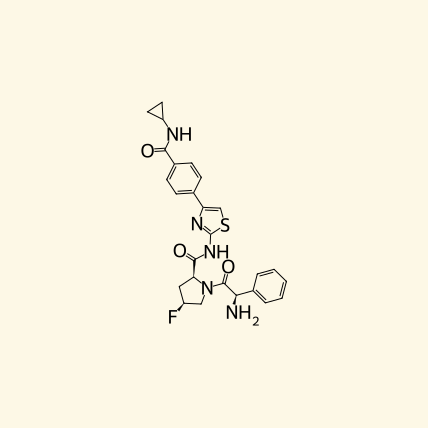 N[C@@H](C(=O)N1C[C@@H](F)C[C@H]1C(=O)Nc1nc(-c2ccc(C(=O)NC3CC3)cc2)cs1)c1ccccc1